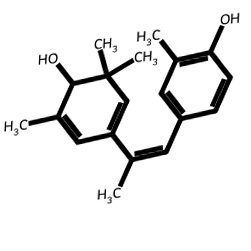 CC(=Cc1ccc(O)c(C)c1)C1=CC(C)(C)C(O)C(C)=C1